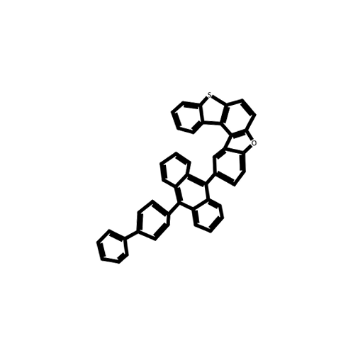 c1ccc(-c2ccc(-c3c4ccccc4c(-c4ccc5oc6ccc7sc8ccccc8c7c6c5c4)c4ccccc34)cc2)cc1